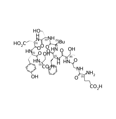 CC[C@H](C)[C@H](NC(=O)[C@H](Cc1ccccc1)NC(=O)[C@@H](NC(=O)CNC(=O)[C@@H](N)CCC(=O)O)[C@@H](C)O)C(=O)N[C@@H](CO)C(=O)N[C@@H](CC(=O)O)C(=O)N[C@@H](Cc1ccc(O)cc1)C(=O)N[C@@H](CO)C(=O)O